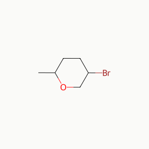 CC1CCC(Br)CO1